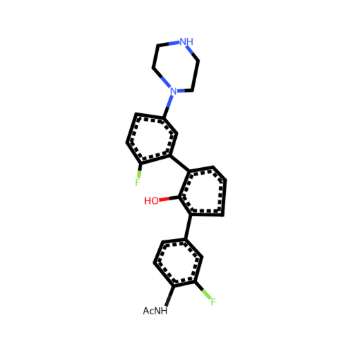 CC(=O)Nc1ccc(-c2cccc(-c3cc(N4CCNCC4)ccc3F)c2O)cc1F